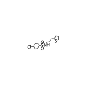 O=S(=O)(NCCCc1cccs1)c1ccc(Cl)cc1